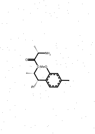 COc1cc(C)ccc1[C@H](C(C)C)[C@H](C)OC(=O)[C@H](C)N